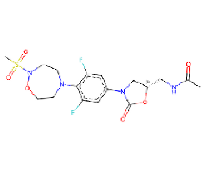 CC(=O)NC[C@H]1CN(c2cc(F)c(N3CCON(S(C)(=O)=O)CC3)c(F)c2)C(=O)O1